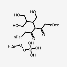 CCCCCCCCCCCC(=O)C(C(=O)CCCCCCCCCCC)C(CO)C(CO)CO.O[Si](O)(O)OO[SiH3]